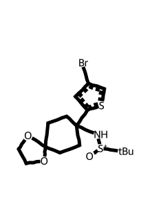 CC(C)(C)[S+]([O-])NC1(c2cc(Br)cs2)CCC2(CC1)OCCO2